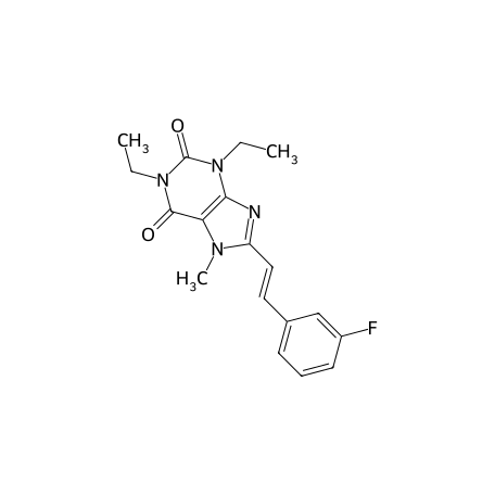 CCn1c(=O)c2c(nc(C=Cc3cccc(F)c3)n2C)n(CC)c1=O